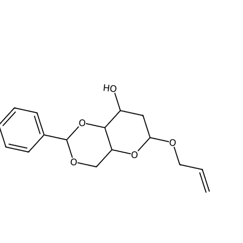 C=CCOC1CC(O)C2OC(c3ccccc3)OCC2O1